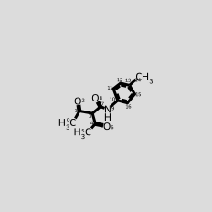 CC(=O)C(C(C)=O)C(=O)Nc1ccc(C)cc1